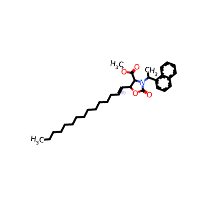 CCCCCCCCCCCCC/C=C/C1OC(=O)N(C(C)c2cccc3ccccc23)C1C(=O)OC